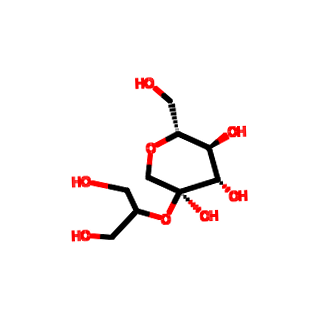 OCC(CO)O[C@@]1(O)CO[C@H](CO)[C@@H](O)[C@@H]1O